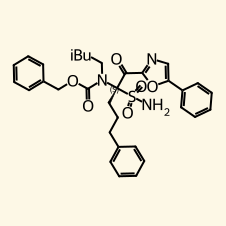 CCC(C)CN(C(=O)OCc1ccccc1)[C@](CCCc1ccccc1)(C(=O)c1ncc(-c2ccccc2)o1)S(N)(=O)=O